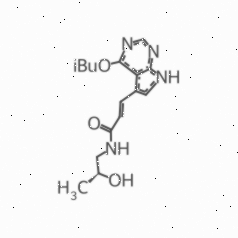 CC(C)COc1ncnc2[nH]cc(C=CC(=O)NC[C@H](C)O)c12